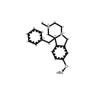 CCCCOc1ccc2c(c1)CN1CCN(C)CC21Cc1ccccc1